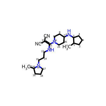 CC1CCCC1NC1CCN(C(NCCCN2CCCC2C)=C(C#N)C#N)CC1